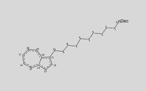 CCCCCCCCCCCCCCCCCCCCc1ccc2cccccc1-2